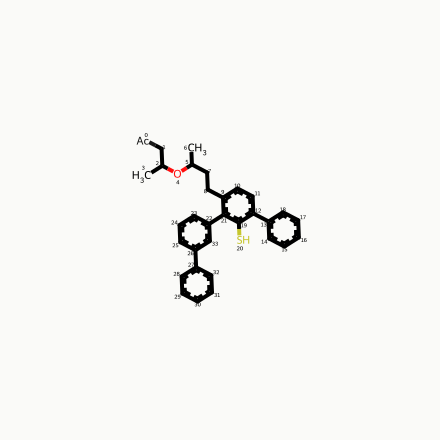 CC(=O)CC(C)OC(C)CCc1ccc(-c2ccccc2)c(S)c1-c1cccc(-c2ccccc2)c1